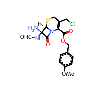 COc1ccc(COC(=O)C2=C(CCl)CS[C@H]3N2C(=O)[C@]3(N)NC=O)cc1